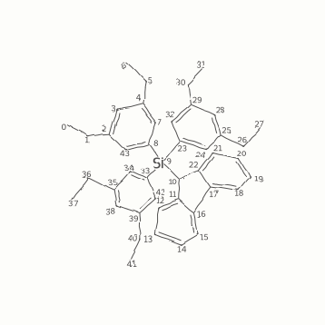 CCc1cc(CC)cc([Si]([C]2c3ccccc3-c3ccccc32)(c2cc(CC)cc(CC)c2)c2cc(CC)cc(CC)c2)c1